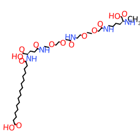 CN[C@@H](CCCCNC(=O)COCCOCCNC(=O)COCCOCCNC(=O)CC[C@@H](NC(=O)CCCCCCCCCCCCCCCCC(=O)O)C(=O)O)C(=O)O